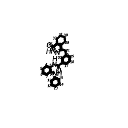 O=C(Nc1ccccc1Nc1ccccc1)c1cccc(Cc2n[nH]c(=O)c3c2CCCC3)c1